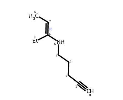 C#CCCCN/C(=C/C)CC